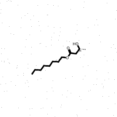 CCCCCCCCOC(=O)C[C@@H](C)O